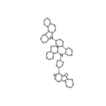 c1ccc(N(c2ccc(-c3nccc4c3oc3ccccc34)cc2)c2cccc3ccccc23)c(-c2ccc(-n3c4ccccc4c4c5ccccc5ccc43)cc2)c1